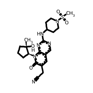 C[C@]1(O)CCC[C@@H]1n1c(=O)c(CC#N)cc2cnc(NC3CCN(S(C)(=O)=O)CC3)nc21